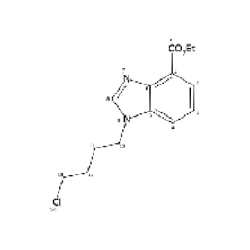 CCOC(=O)c1cccc2c1ncn2CCCCCl